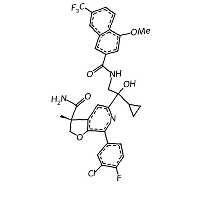 COc1cc(C(=O)NCC(O)(c2cc3c(c(-c4ccc(F)c(Cl)c4)n2)OC[C@]3(C)C(N)=O)C2CC2)cc2cc(C(F)(F)F)ccc12